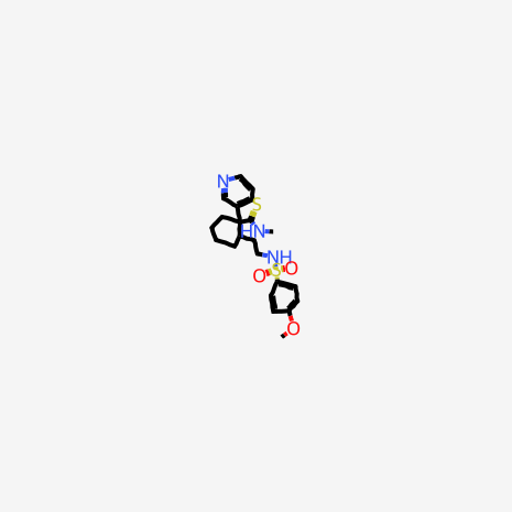 CNC(=S)C1(c2cccnc2)CCCCC1CCNS(=O)(=O)c1ccc(OC)cc1